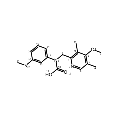 COc1c(C)cnc(CN(C(=O)O)c2cccc(SC)c2)c1C